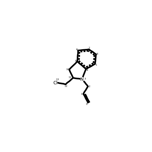 C=CCN1c2ccccc2CC1CCl